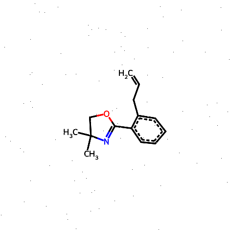 C=CCc1ccccc1C1=NC(C)(C)CO1